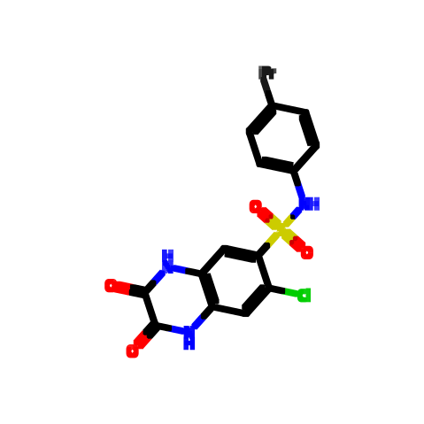 CC(C)c1ccc(NS(=O)(=O)c2cc3[nH]c(=O)c(=O)[nH]c3cc2Cl)cc1